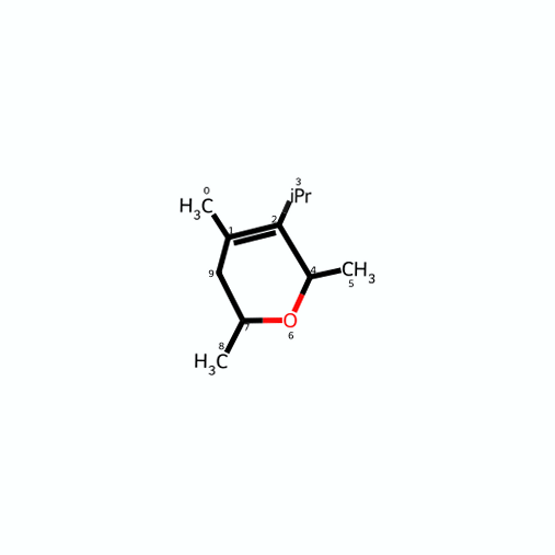 CC1=C(C(C)C)C(C)OC(C)C1